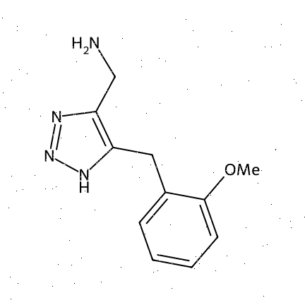 COc1ccccc1Cc1[nH]nnc1CN